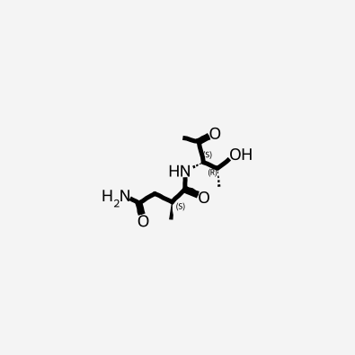 CC(=O)[C@@H](NC(=O)[C@@H](C)CC(N)=O)[C@@H](C)O